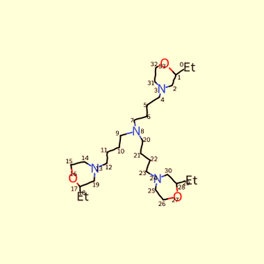 CCC1CN(CCCCN(CCCCN2CCOC(CC)C2)CCCCN2CCOC(CC)C2)CCO1